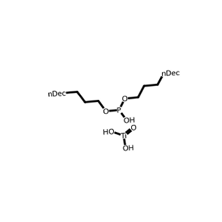 CCCCCCCCCCCCCOP(O)OCCCCCCCCCCCCC.[O]=[Ti]([OH])[OH]